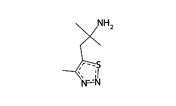 Cc1nnsc1CC(C)(C)N